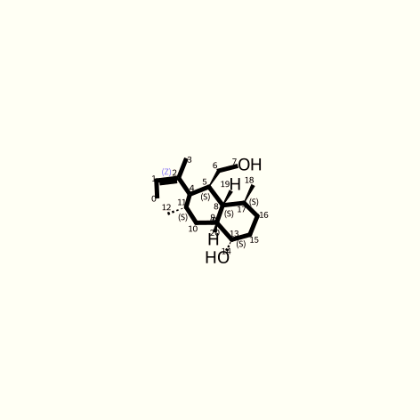 C/C=C(/C)C1[C@@H](CO)[C@H]2[C@@H](C[C@@H]1C)[C@@H](O)CC[C@@H]2C